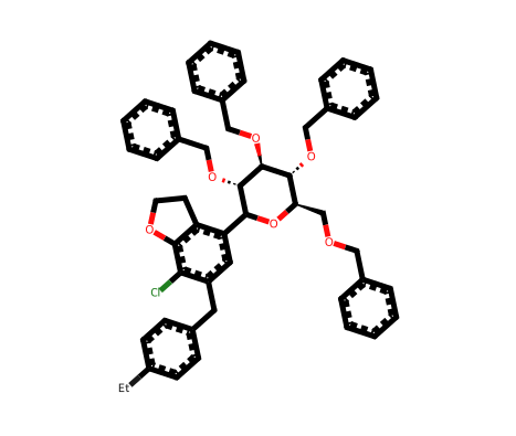 CCc1ccc(Cc2cc(C3O[C@H](COCc4ccccc4)[C@@H](OCc4ccccc4)[C@H](OCc4ccccc4)[C@H]3OCc3ccccc3)c3c(c2Cl)OCC3)cc1